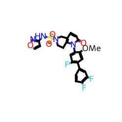 COc1cc(-c2ccc(F)c(F)c2)c(F)cc1-n1c2c(ccc1=O)CN(S(=O)(=O)Nc1ccon1)CC2